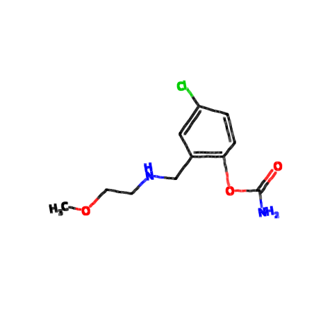 COCCNCc1cc(Cl)ccc1OC(N)=O